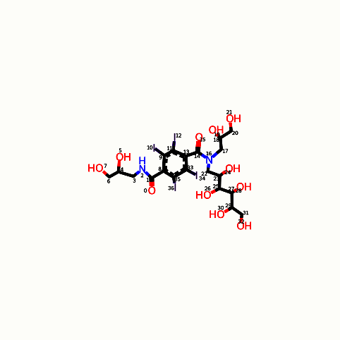 O=C(NCC(O)CO)c1c(I)c(I)c(C(=O)N(CC(O)CO)CC(O)C(O)C(O)C(O)CO)c(I)c1I